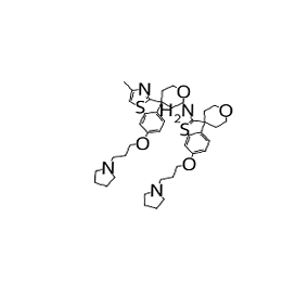 Cc1csc(C2(c3ccc(OCCCN4CCCC4)cc3)CCOCC2)n1.NC(=S)C1(c2ccc(OCCCN3CCCC3)cc2)CCOCC1